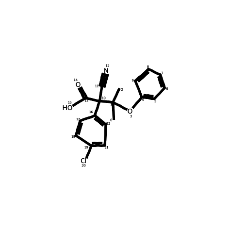 CC(C)(Oc1ccccc1)C(C#N)(C(=O)O)c1ccc(Cl)cc1